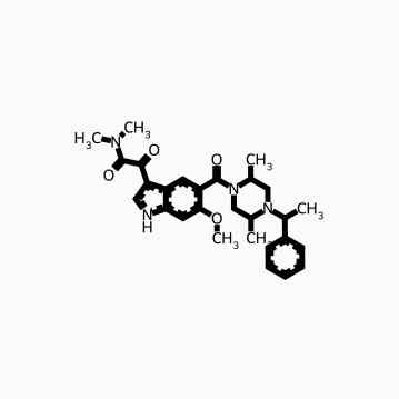 COc1cc2[nH]cc(C(=O)C(=O)N(C)C)c2cc1C(=O)N1CC(C)N(C(C)c2ccccc2)CC1C